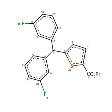 CCOC(=O)c1ccc(C(c2cccc(F)c2)c2cccc(F)c2)s1